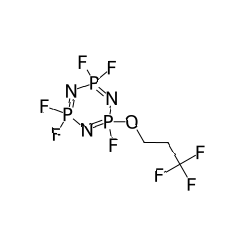 FC(F)(F)CCOP1(F)=NP(F)(F)=NP(F)(F)=N1